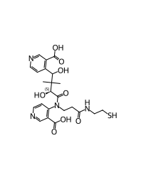 CC(C)(C(O)c1ccncc1C(=O)O)[C@H](O)C(=O)N(CCC(=O)NCCS)c1ccncc1C(=O)O